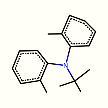 Cc1ccccc1N(c1ccccc1C)C(C)(C)C